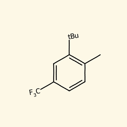 Cc1ccc(C(F)(F)F)cc1C(C)(C)C